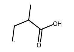 [CH2]CC(C)C(=O)O